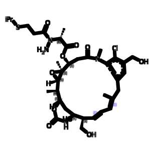 C/C1=C\C=C\[C@@H](CO)[C@@]2(O)C[C@H](OC(=O)N2)[C@@H](C)[C@@H]2O[C@@]2(C)[C@@H](OC(=O)[C@@H](C)N(N)C(=O)CCSC(C)C)CC(=O)N(C)c2cc(cc(CO)c2Cl)C1